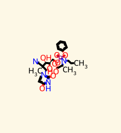 CCCN([C@@H](C)C(=O)O)[P@@](=O)(OC[C@H]1O[C@@H](n2ccc(=O)[nH]c2=O)[C@](C)(C#N)[C@@H]1O)Oc1ccccc1